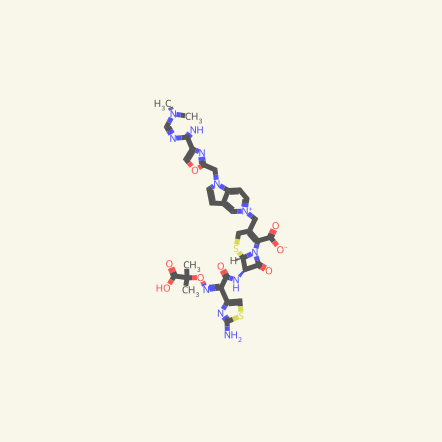 CN(C)/C=N\C(=N)c1coc(Cn2ccc3c[n+](CC4=C(C(=O)[O-])N5C(=O)[C@@H](NC(=O)/C(=N\OC(C)(C)C(=O)O)c6csc(N)n6)[C@H]5SC4)ccc32)n1